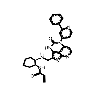 C=CC(=O)N[C@H]1CCCC[C@H]1NCc1sc2nccc3c2c1NC(=O)N3c1ccnc(-c2ccccc2)c1